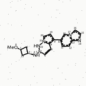 CO[C@H]1C[C@@H](NN2C=Cc3c(-c4ccc5nccn5c4)ccn3N2)C1